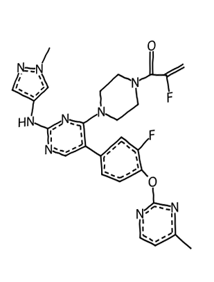 C=C(F)C(=O)N1CCN(c2nc(Nc3cnn(C)c3)ncc2-c2ccc(Oc3nccc(C)n3)c(F)c2)CC1